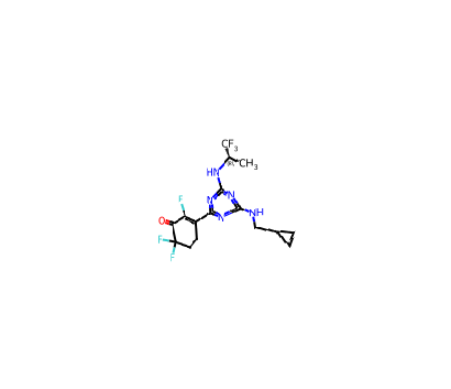 C[C@@H](Nc1nc(NCC2CC2)nc(C2=C(F)C(=O)C(F)(F)CC2)n1)C(F)(F)F